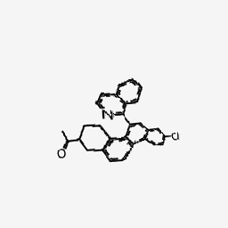 CC(=O)C1CCc2c(ccc3c2c(-c2nccc4ccccc24)cc2cc(Cl)ccc23)C1